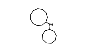 C1CCCCCC(PC2CCCCCCCC2)CCCC1